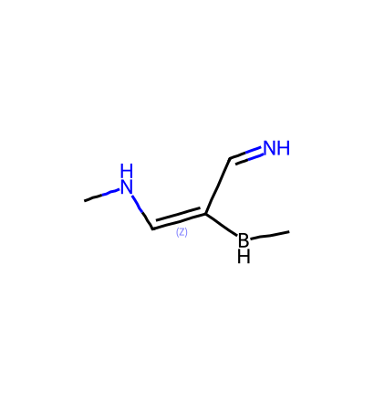 CB/C(C=N)=C/NC